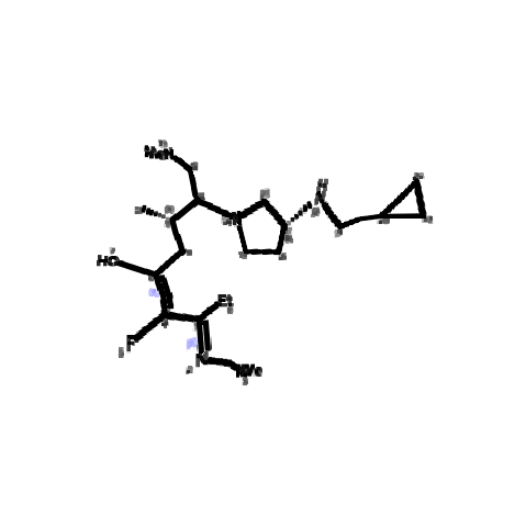 CCC(=N\NC)/C(F)=C(/O)C[C@H](C)C(CNC)N1CC[C@@H](NCC2CC2)C1